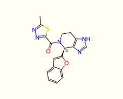 Cc1nnc(C(=O)N2CCc3[nH]cnc3[C@H]2c2cc3ccccc3o2)s1